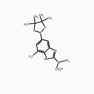 CN(C(=O)O)c1nc2cc(B3OC(C)(C)C(C)(C)O3)cc(C(F)(F)F)c2[nH]1